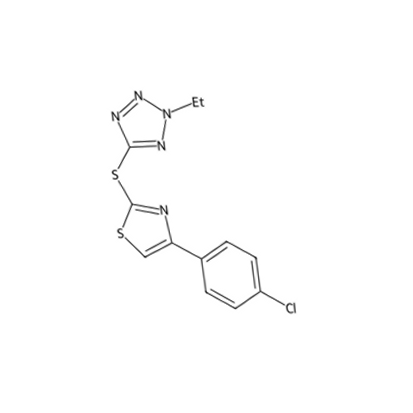 CCn1nnc(Sc2nc(-c3ccc(Cl)cc3)cs2)n1